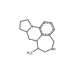 CC1CNCc2cccc3c2N1CC1CCCN31